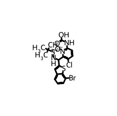 CC(C)(C)[S@+]([O-])NC(c1cc2cccc(Br)c2s1)c1nc(NC(=O)O)ccc1Cl